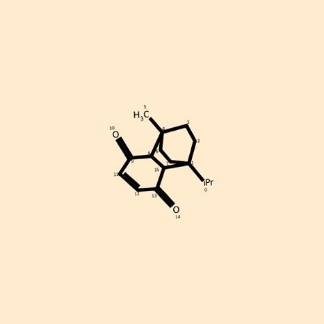 CC(C)C12CCC(C)(CC1)C1C(=O)C=CC(=O)C12